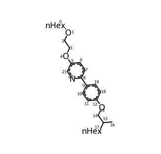 CCCCCCOCCOc1ccc(-c2ccc(OCC(C)CCCCCC)cc2)nc1